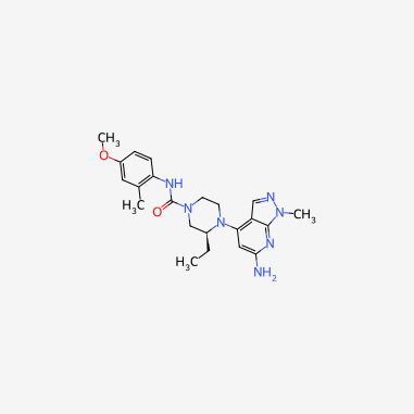 CC[C@H]1CN(C(=O)Nc2ccc(OC)cc2C)CCN1c1cc(N)nc2c1cnn2C